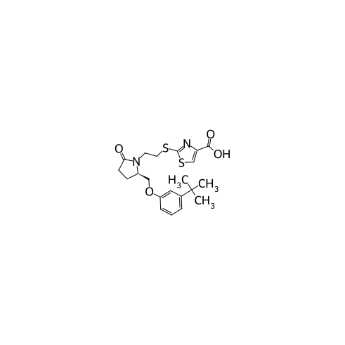 CC(C)(C)c1cccc(OC[C@H]2CCC(=O)N2CCSc2nc(C(=O)O)cs2)c1